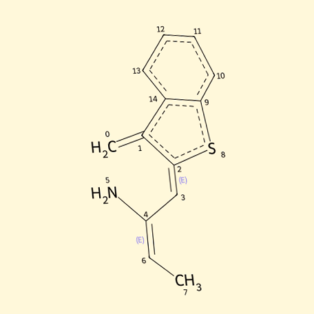 C=c1/c(=C\C(N)=C/C)sc2ccccc12